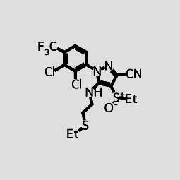 CCSCCNc1c([S+]([O-])CC)c(C#N)nn1-c1ccc(C(F)(F)F)c(Cl)c1Cl